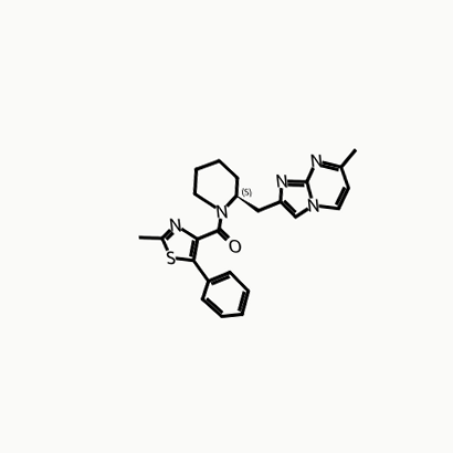 Cc1ccn2cc(C[C@@H]3CCCCN3C(=O)c3nc(C)sc3-c3ccccc3)nc2n1